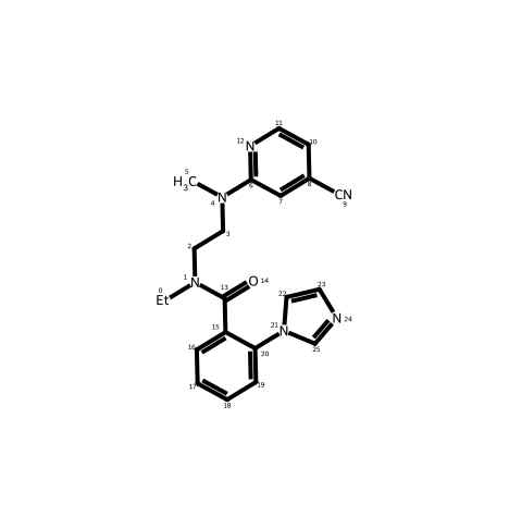 CCN(CCN(C)c1cc(C#N)ccn1)C(=O)c1ccccc1-n1ccnc1